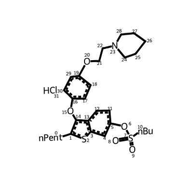 CCCCCc1sc2cc(OS(=O)(=O)CCCC)ccc2c1Oc1ccc(OCCN2CCCCC2)cc1.Cl